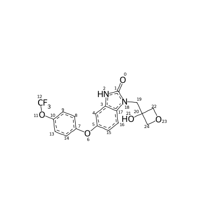 O=c1[nH]c2cc(Oc3ccc(OC(F)(F)F)cc3)ccc2n1CC1(O)COC1